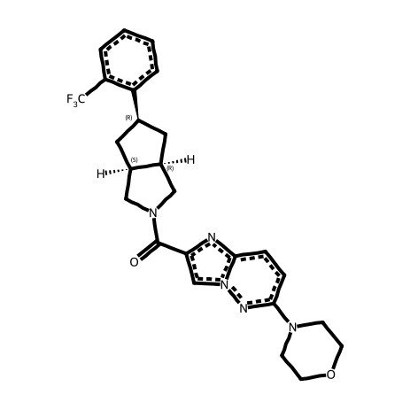 O=C(c1cn2nc(N3CCOCC3)ccc2n1)N1C[C@H]2C[C@@H](c3ccccc3C(F)(F)F)C[C@H]2C1